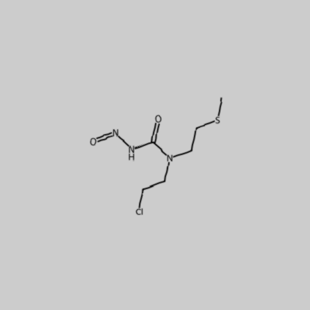 CSCCN(CCCl)C(=O)NN=O